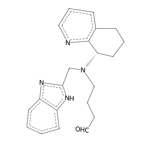 O=CCCCN(Cc1nc2ccccc2[nH]1)[C@H]1CCCc2cccnc21